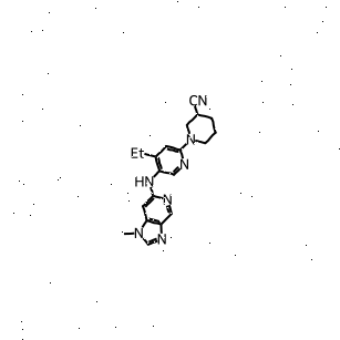 CCc1cc(N2CCCC(C#N)C2)ncc1Nc1cc2c(cn1)ncn2C